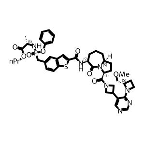 CCCOC(=O)[C@H](C)NP(=O)(Cc1ccc2sc(C(=O)N[C@H]3CCC[C@H]4CC[C@@H](C(=O)N5CC(c6cncnc6N6CC[C@H]6COC)C5)N4C3=O)cc2c1)Oc1ccccc1